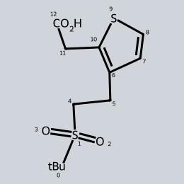 CC(C)(C)S(=O)(=O)CCc1ccsc1CC(=O)O